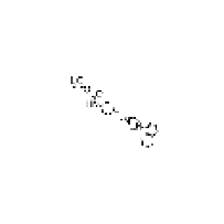 CCOCC(=O)NC1CCC(CCN2CCN(c3cccc4c3CCCC4)CC2)CC1